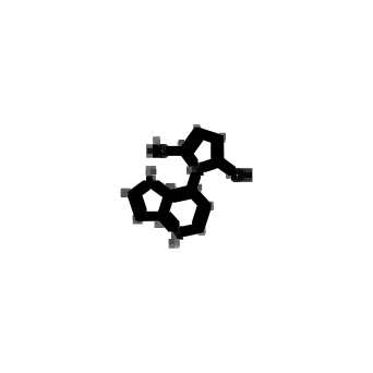 Oc1ccc(O)n1-c1ccnc2ccsc12